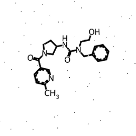 Cc1ccc(C(=O)N2CCC(NC(=O)N(CCO)Cc3ccccc3)C2)cn1